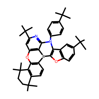 CC(C)(C)c1ccc(N2c3nc(C(C)(C)C)cc4c3B(c3ccc5c(c3O4)C(C)(C)CCC5(C)C)c3oc4ccc(C(C)(C)C)cc4c32)cc1